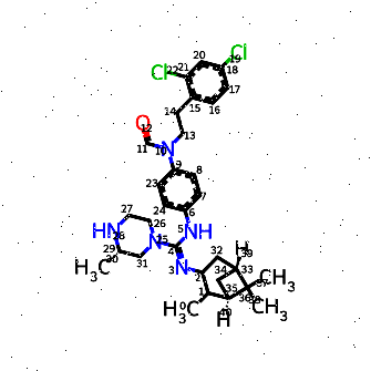 CC1C(/N=C(\Nc2ccc(N(C=O)CCc3ccc(Cl)cc3Cl)cc2)N2CCN[C@@H](C)C2)C[C@H]2C[C@H]1C2(C)C